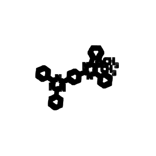 C[Si]1(C)c2ccccc2-c2nc(-c3ccc(-c4nc(-c5ccccc5)nc(-c5ccccc5)n4)cc3)nc(-c3ccccc3)c21